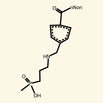 CCCCCCCCCC(=O)c1ccc(CNCCCP(C)(=O)O)cc1